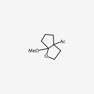 COC12CCCC1(C(C)=O)CCO2